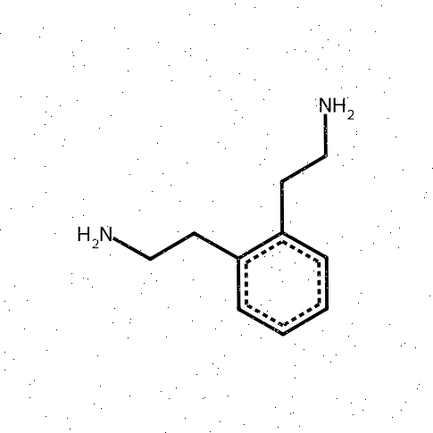 NCCc1ccccc1CCN